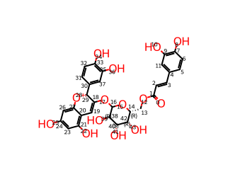 O=C(C=Cc1ccc(O)c(O)c1)OC[C@H]1OC(Oc2cc3c(O)cc(O)cc3[o+]c2-c2ccc(O)c(O)c2)[C@H](O)[C@@H](O)[C@H]1O